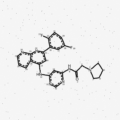 O=C(CN1CCCC1)Nc1cc(Nc2cc(-c3cc(F)ccc3F)nc3ncccc23)ncn1